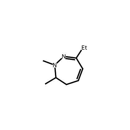 CCC1=NN(C)C(C)CC=C1